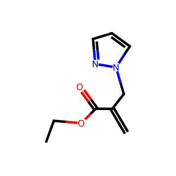 C=C(Cn1cccn1)C(=O)OCC